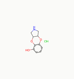 Cl.Oc1cccc2c1OC1CNCC1O2